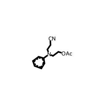 CC(=O)OCCN(CCC#N)c1ccccc1